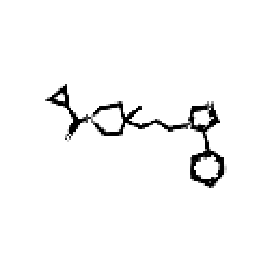 CC1(CCCn2cncc2-c2ccccc2)CCN(C(=O)C2CC2)CC1